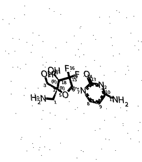 NC[C@]1(CO)O[C@@H](n2ccc(N)nc2=O)C(F)(F)[C@@H]1O